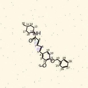 COc1cc(/C=C/C=C/C(=O)N[C@H]2CC[C@H](C)CC2)ccc1OCc1ccccc1